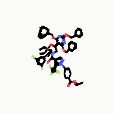 CCOC(=O)C1CCC(n2ncc(C(=O)N(Cc3cc(F)cc(F)c3)CC(O[Si](CC)(CC)CC)c3c(OCc4ccccc4)nc(OCc4ccccc4)nc3OCc3ccccc3)c2C(F)(F)F)CC1